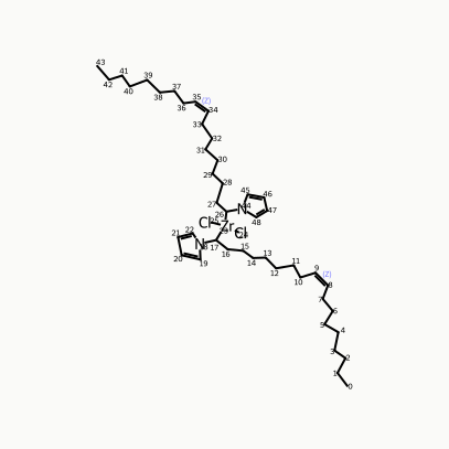 CCCCCCCC/C=C\CCCCCCC[CH](n1cccc1)[Zr]([Cl])([Cl])[CH](CCCCCCC/C=C\CCCCCCCC)n1cccc1